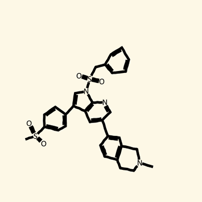 CN1CCc2ccc(-c3cnc4c(c3)c(-c3ccc(S(C)(=O)=O)cc3)cn4S(=O)(=O)Cc3ccccc3)cc2C1